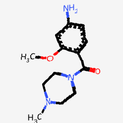 COc1cc(N)ccc1C(=O)N1CCN(C)CC1